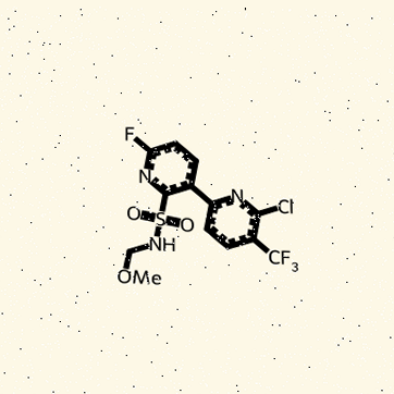 COCNS(=O)(=O)c1nc(F)ccc1-c1ccc(C(F)(F)F)c(Cl)n1